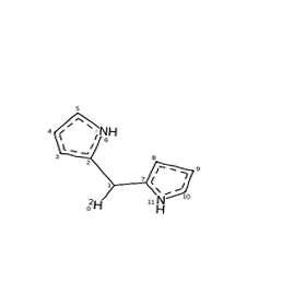 [2H]C(c1ccc[nH]1)c1ccc[nH]1